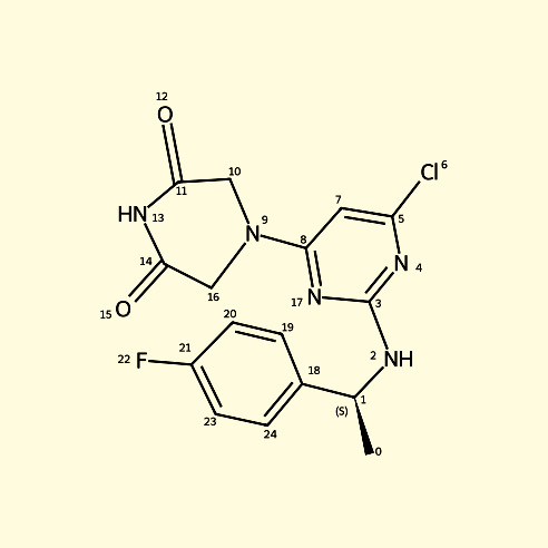 C[C@H](Nc1nc(Cl)cc(N2CC(=O)NC(=O)C2)n1)c1ccc(F)cc1